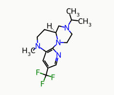 CC(C)N1CCN2c3ncc(C(F)(F)F)cc3N(C)CC[C@H]2C1